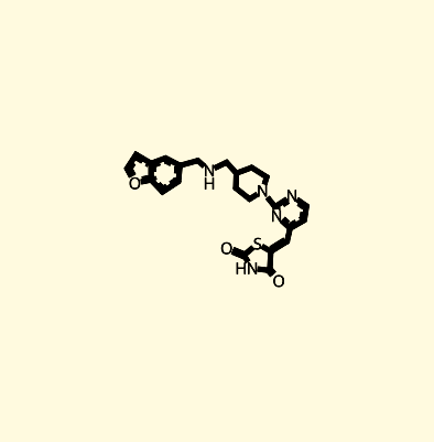 O=C1NC(=O)C(=Cc2ccnc(N3CCC(CNCc4ccc5occc5c4)CC3)n2)S1